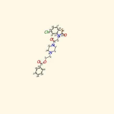 O=C(OCCN1CCN(C(=O)Cn2c(=O)sc3ccc(Cl)cc32)CC1)c1ccccc1